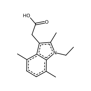 CCn1c(C)c(CC(=O)O)c2c(C)ccc(C)c21